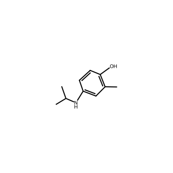 Cc1cc(NC(C)C)ccc1O